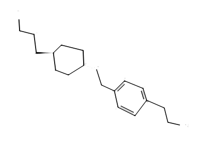 N#CCCc1ccc(CC[C@H]2CC[C@H](CCCF)CC2)cc1